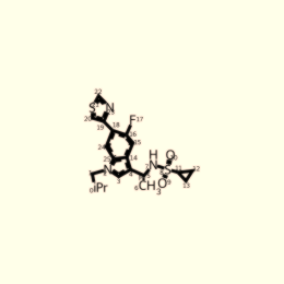 CC(C)Cn1cc([C@@H](C)NS(=O)(=O)C2CC2)c2cc(F)c(-c3cscn3)cc21